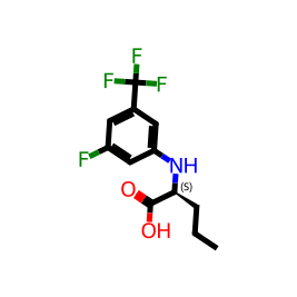 CCC[C@H](Nc1cc(F)cc(C(F)(F)F)c1)C(=O)O